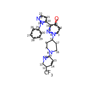 O=c1ccn(C2CCN(C3=NCC(C(F)(F)F)C=C3)CC2)nc1-c1ccnn1-c1ccccc1